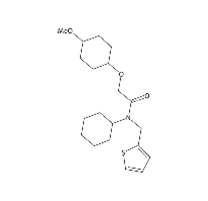 COC1CCC(OCC(=O)N(Cc2cccs2)C2CCCCC2)CC1